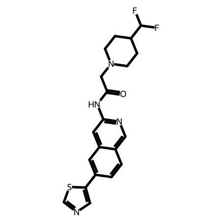 O=C(CN1CCC(C(F)F)CC1)Nc1cc2cc(-c3cncs3)ccc2cn1